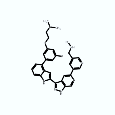 CCNCc1cncc(-c2cc3c(-c4cc5c(-c6cc(F)cc(OCCN(C)C)c6)cccc5[nH]4)n[nH]c3cn2)c1